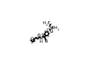 C=CCN(C)C(=O)OC1CCc2c(sc(NC(=O)C=Cc3ccco3)c2C#N)C1